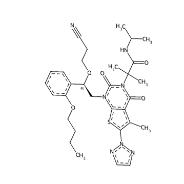 CCCCOc1ccccc1[C@H](Cn1c(=O)n(C(C)(C)C(=O)NC(C)C)c(=O)c2c(C)c(-n3nccn3)sc21)OCCC#N